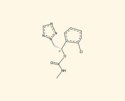 CNC(=O)O[C@H](Cn1ncnn1)c1ccccc1Cl